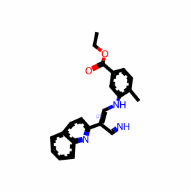 CCOC(=O)c1ccc(C)c(N/C=C(\C=N)c2ccc3ccccc3n2)c1